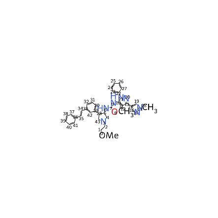 COCCN1C[C@@H](NC(=O)Nc2c(C)c(-c3cnn(C)c3)nn2-c2ccccc2)[C@H](c2cccc(/C=C/c3ccccc3)c2)C1